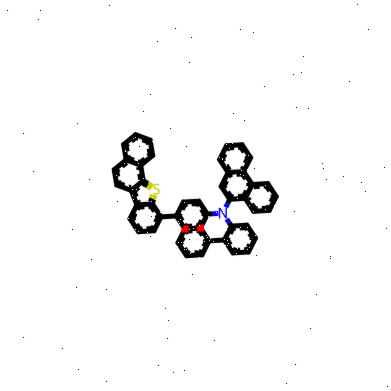 c1ccc(-c2ccccc2N(c2ccc(-c3cccc4c3sc3c5ccccc5ccc43)cc2)c2cc3ccccc3c3ccccc23)cc1